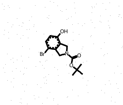 CC(C)(C)OC(=O)N1Cc2c(O)ccc(Br)c2C1